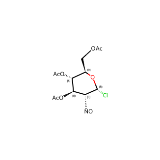 CC(=O)OC[C@H]1O[C@H](Cl)[C@H](N=O)[C@@H](OC(C)=O)[C@@H]1OC(C)=O